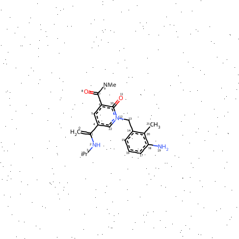 C=C(NC(C)C)c1cc(C(=O)NC)c(=O)n(Cc2cccc(N)c2C)c1